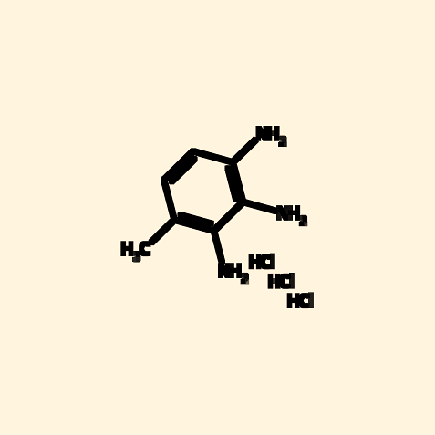 Cc1ccc(N)c(N)c1N.Cl.Cl.Cl